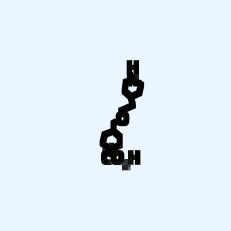 O=C(O)N1CCC(COCCC2CCNCC2)CC1